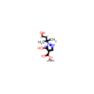 CCCCOC(=O)c1cnn(C(C)(C)CCO)c1O